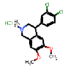 COc1cc2c(cc1OC)C(c1ccc(Cl)c(Cl)c1)CN(C)C2.Cl